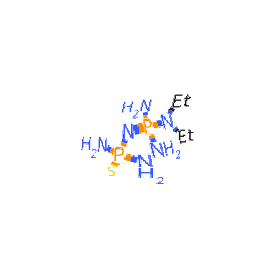 CCN(CC)P(N)(N)=NP(N)(N)=S